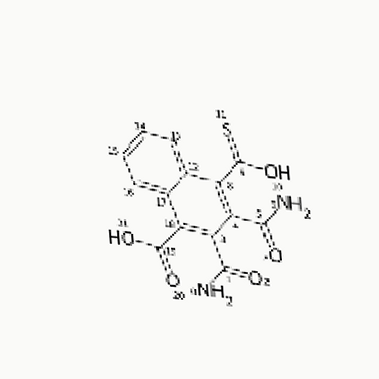 NC(=O)c1c(C(N)=O)c(C(O)=S)c2ccccc2c1C(=O)O